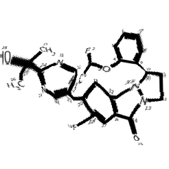 CC(F)Oc1ccccc1[C@H]1CCn2c(=O)c3cc(F)c(-c4cnc(C(C)(C)O)nc4)cc3n21